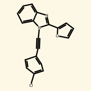 Clc1ccc(C#Cn2c(-c3ccco3)nc3ccccc32)cc1